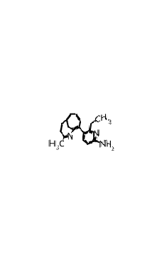 CCc1nc(N)ccc1C1=C2CC(=CC=C1)C=CC(C)=N2